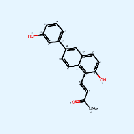 CNC(=O)C=Cc1c(O)ccc2cc(-c3cccc(O)c3)ccc12